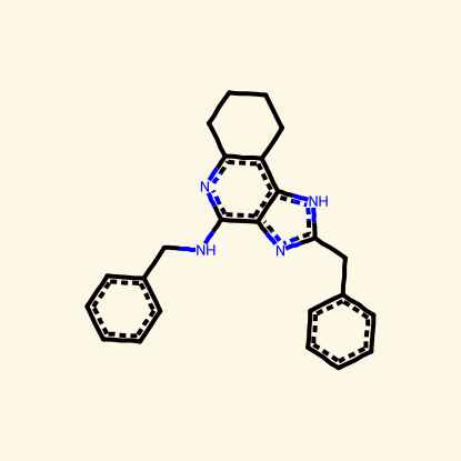 c1ccc(CNc2nc3c(c4[nH]c(Cc5ccccc5)nc24)CCCC3)cc1